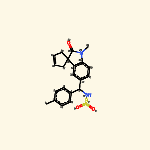 Cc1ccc(C(N[SH](=O)=O)c2ccc3c(c2)C2(CC=CC2)C(=O)N3C)cc1